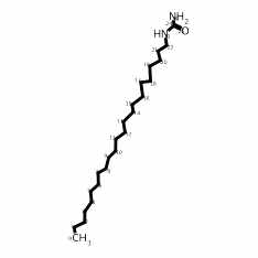 CCCCCCCCCCCCCCCCCCCCCCCNC(N)=O